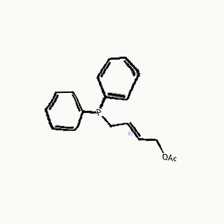 CC(=O)OC/C=C/CP(c1ccccc1)c1ccccc1